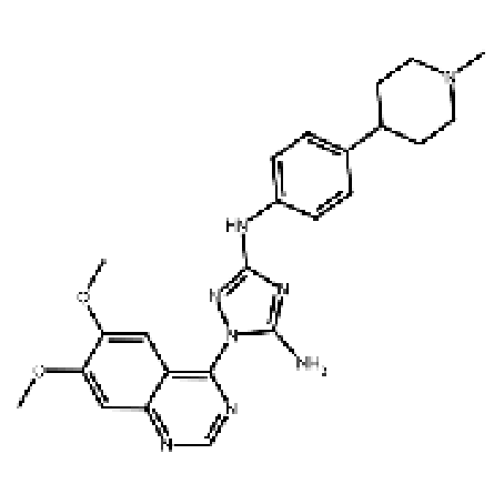 COc1cc2ncnc(-n3nc(Nc4ccc(C5CCN(C)CC5)cc4)nc3N)c2cc1OC